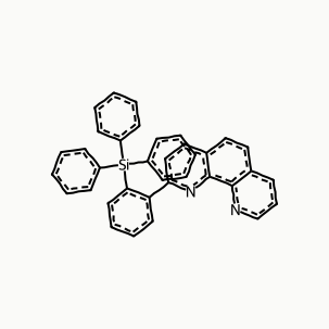 c1ccc([Si](c2ccccc2)(c2ccccc2)c2ccccc2-c2ccc3ccc4cccnc4c3n2)cc1